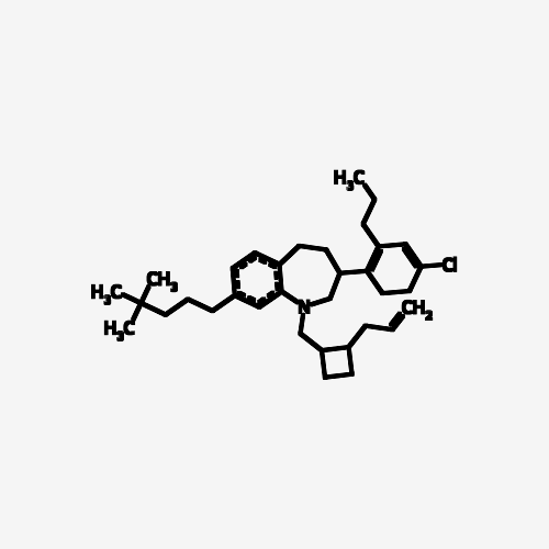 C=CCC1CCC1CN1CC(C2=C(CCC)C=C(Cl)CC2)CCc2ccc(CCCC(C)(C)C)cc21